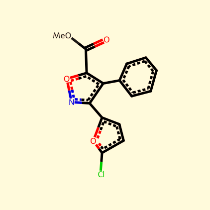 COC(=O)c1onc(-c2ccc(Cl)o2)c1-c1ccccc1